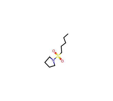 CCCCCS(=O)(=O)N1[CH]CCC1